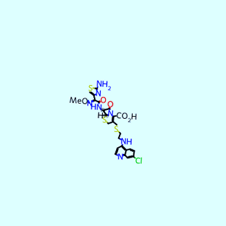 CON=C(C(=O)N[C@@H]1C(=O)N2C(C(=O)O)=C(CSCCNc3ccnc4cc(Cl)ccc34)CS[C@H]12)c1csc(N)n1